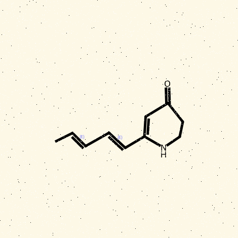 C/C=C/C=C/C1=CC(=O)CCN1